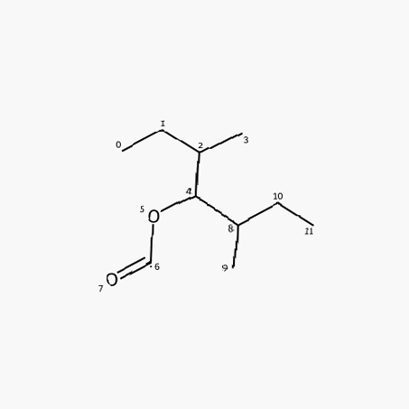 CCC(C)C(O[C]=O)C(C)CC